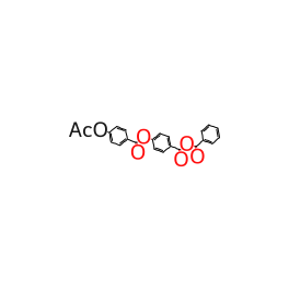 CC(=O)Oc1ccc(C(=O)Oc2ccc(C(=O)OC(=O)c3ccccc3)cc2)cc1